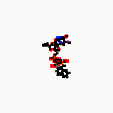 CCCCC1OC2[C@@H](COP(=O)(O)OP(=O)(O)OP(=O)(O)Cc3cccc4ccccc34)O[C@@H](n3cc(I)c(=O)[nH]c3=O)[C@H]2O1